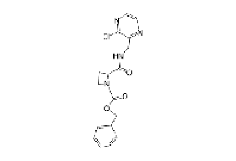 O=C(NCc1nccnc1Cl)C1CCN1C(=O)OCc1ccccc1